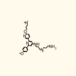 COc1ccc(-c2cc(NCCCN(C)CCCN)cc(-c3ccc(OCCCN(C)C)nc3)n2)cc1